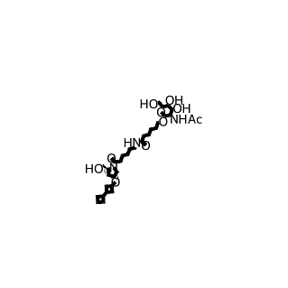 CC(=O)NC1C(OCCCCCC(=O)NCCCCCC(=O)N2C[C@H](OC3CC(C4CCC4)C3)C[C@H]2CO)OC(CO)C(O)C1O